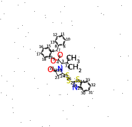 C=C(C)[C@H](C(=O)OC(c1ccccc1)c1ccccc1)N1C(=O)CC1SSc1nc2ccccc2s1